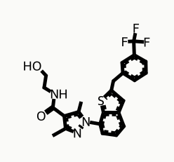 Cc1nn(-c2cccc3cc(Cc4cccc(C(F)(F)F)c4)sc23)c(C)c1C(=O)NCCO